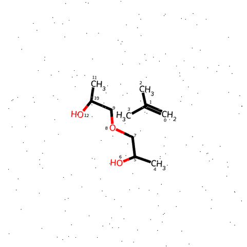 C=C(C)C.CC(O)COCC(C)O